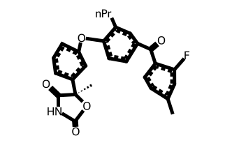 CCCc1cc(C(=O)c2ccc(C)cc2F)ccc1Oc1cccc([C@@]2(C)OC(=O)NC2=O)c1